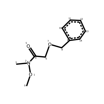 CON(C)C(=O)COCc1ccccc1